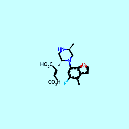 Cc1c(F)cc(N2C[C@H](C)NC[C@H]2C)c2occc12.O=C(O)/C=C/C(=O)O